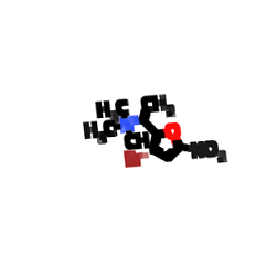 C=C(c1ccc([N+](=O)[O-])o1)[N+](C)(C)C.[Br-]